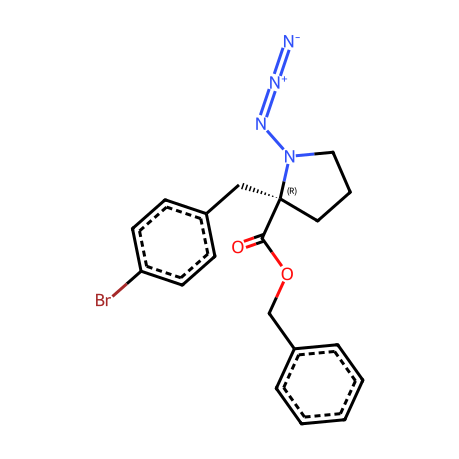 [N-]=[N+]=NN1CCC[C@@]1(Cc1ccc(Br)cc1)C(=O)OCc1ccccc1